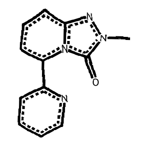 Cn1nc2cccc(-c3ccccn3)n2c1=O